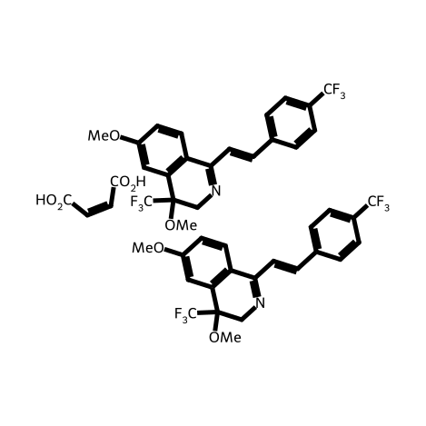 COc1ccc2c(c1)C(OC)(C(F)(F)F)CN=C2C=Cc1ccc(C(F)(F)F)cc1.COc1ccc2c(c1)C(OC)(C(F)(F)F)CN=C2C=Cc1ccc(C(F)(F)F)cc1.O=C(O)/C=C\C(=O)O